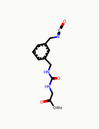 COC(=O)CNC(=O)NCc1cccc(CN=C=O)c1